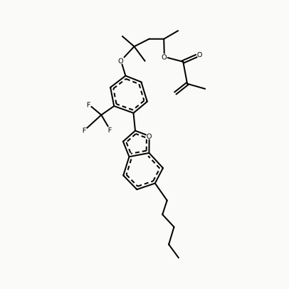 C=C(C)C(=O)OC(C)CC(C)(C)Oc1ccc(-c2cc3ccc(CCCCC)cc3o2)c(C(F)(F)F)c1